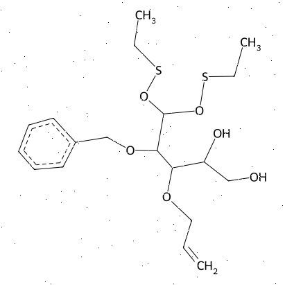 C=CCOC(C(O)CO)C(OCc1ccccc1)C(OSCC)OSCC